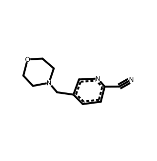 N#Cc1ccc(CN2CCOCC2)cn1